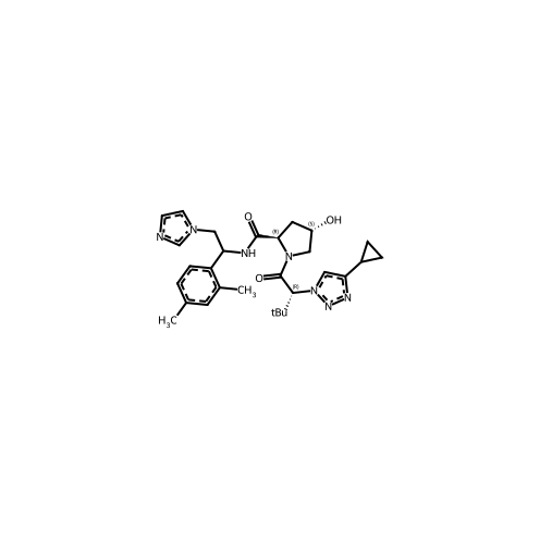 Cc1ccc(C(Cn2ccnc2)NC(=O)[C@H]2C[C@H](O)CN2C(=O)[C@H](n2cc(C3CC3)nn2)C(C)(C)C)c(C)c1